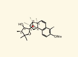 COc1ccc2c(c1C)C=C[C@@]1(C)[C@]23CC[C@]1(C)[C@H](C)[C@]1(OC(C)(C)[C@@H](C)[C@H]1O)O3